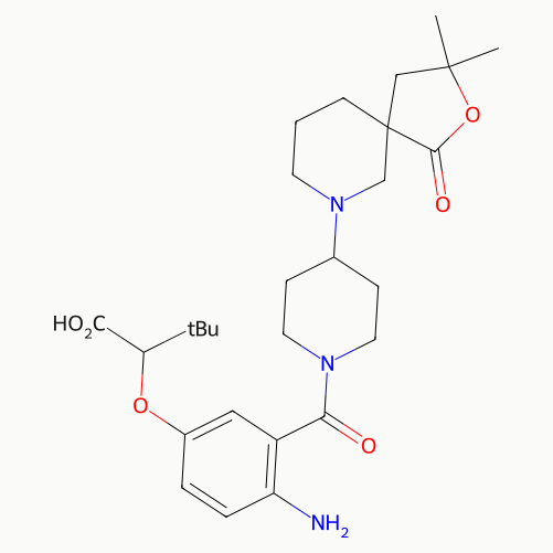 CC1(C)CC2(CCCN(C3CCN(C(=O)c4cc(OC(C(=O)O)C(C)(C)C)ccc4N)CC3)C2)C(=O)O1